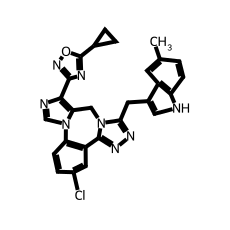 Cc1ccc2[nH]cc(Cc3nnc4n3Cc3c(-c5noc(C6CC6)n5)ncn3-c3ccc(Cl)cc3-4)c2c1